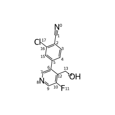 N#Cc1ccc(-c2cncc(F)c2CO)cc1Cl